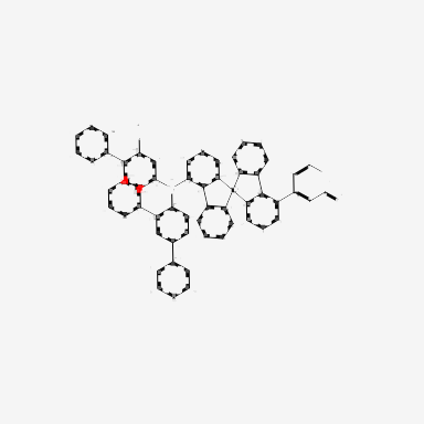 C=C/C=C(\C=C/C)c1cccc2c1-c1ccccc1C21c2ccccc2-c2c(N(c3ccc(-c4ccccc4)c(C(C)(C)C)c3)c3ccc(-c4ccccc4)cc3-c3ccccc3)cccc21